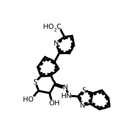 O=C(O)c1cccc(-c2ccc3c(c2)C(=NNc2nc4ccccc4s2)C(O)C(O)S3)n1